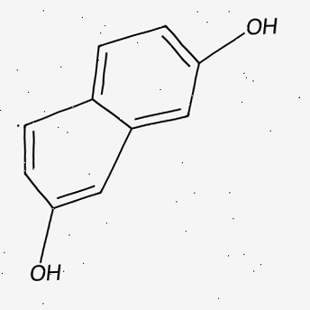 Oc1c[c]c2ccc(O)cc2c1